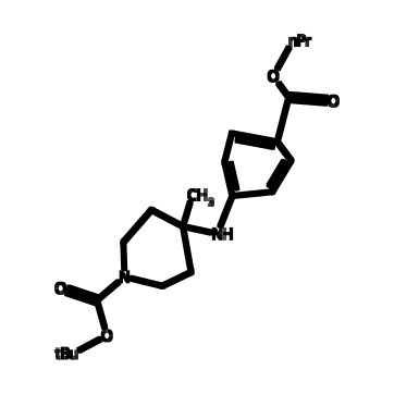 CCCOC(=O)c1ccc(NC2(C)CCN(C(=O)OC(C)(C)C)CC2)cc1